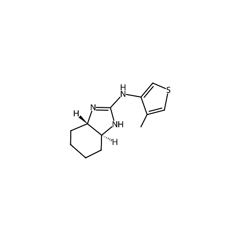 Cc1cscc1NC1=N[C@H]2CCCC[C@@H]2N1